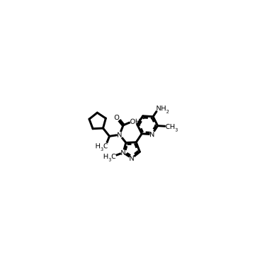 Cc1nc(-c2cnn(C)c2N(C(=O)O)C(C)C2CCCC2)ccc1N